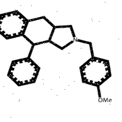 COc1ccc(CN2CC3Cc4ccccc4C(c4ccccc4)C3C2)cc1